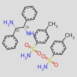 Cc1ccc(S(N)(=O)=O)cc1.Cc1ccc(S(N)(=O)=O)cc1.N[C@@H](c1ccccc1)[C@@H](N)c1ccccc1